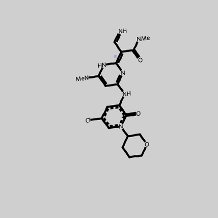 CNC(=O)/C(C=N)=C1\N=C(Nc2cc(Cl)cn(C3CCCOC3)c2=O)C=C(NC)N1